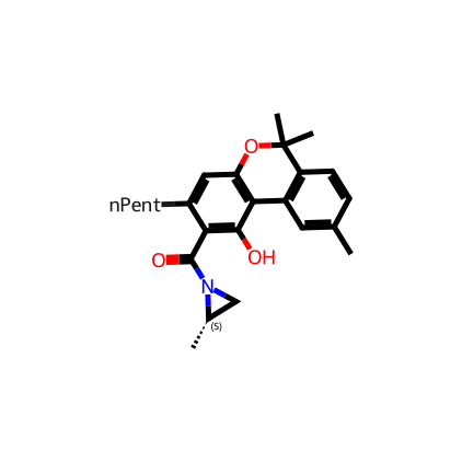 CCCCCc1cc2c(c(O)c1C(=O)N1C[C@@H]1C)-c1cc(C)ccc1C(C)(C)O2